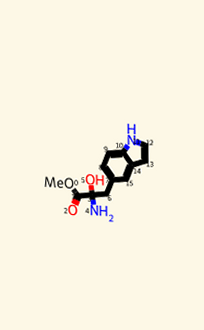 COC(=O)C(N)(O)Cc1ccc2[nH]ccc2c1